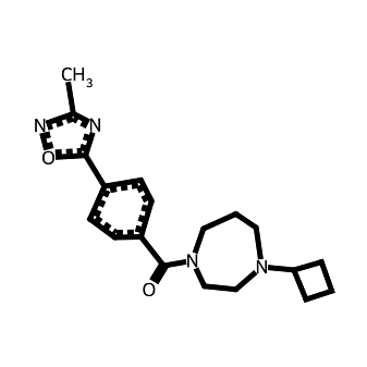 Cc1noc(-c2ccc(C(=O)N3CCCN(C4CCC4)CC3)cc2)n1